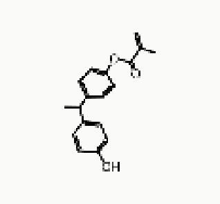 C=C(C)C(=O)Oc1ccc(C(C)c2ccc(O)cc2)cc1